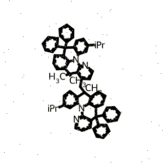 CC(C)c1ccc2c(c1)N1c3ncccc3C(c3ccccc3)(c3ccccc3)c3cccc(c31)C2(C)Cc1ccnc2c1C(C)(C)c1cccc3c1N2c1cc(C(C)C)ccc1C3(c1ccccc1)c1ccccc1